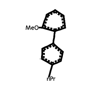 CCCc1[c]cc(-c2ccccc2OC)cc1